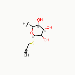 C#CCS[C@@H]1OC(C)[C@H](O)[C@H](O)C1O